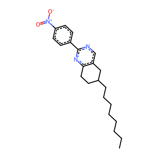 CCCCCCCCC1CCc2nc(-c3ccc([N+](=O)[O-])cc3)ncc2C1